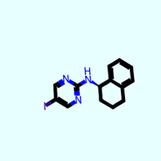 Ic1cnc(N[C@@H]2CCCc3ccccc32)nc1